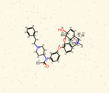 CCC(=O)N(c1cccc(Oc2ccc3c4c2O[C@H]2[C@@H](O)C=C[C@H]5[C@@H](C3)N(C)CC[C@@]452)c1)C1CCN(CCc2ccccc2)CC1